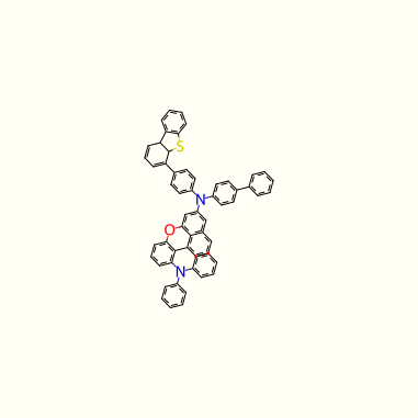 C1=CC2c3ccccc3SC2C(c2ccc(N(c3ccc(-c4ccccc4)cc3)c3cc4c5c(cccc5c3)-c3c(cccc3N(c3ccccc3)c3ccccc3)O4)cc2)=C1